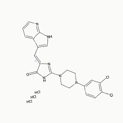 Cl.Cl.Cl.O=C1NC(N2CCN(c3ccc(Cl)c(Cl)c3)CC2)=N/C1=C\c1c[nH]c2ncccc12